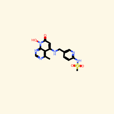 Cc1ncnc2c1c(NCc1ccc(NS(C)(=O)=O)nc1)cc(=O)n2O